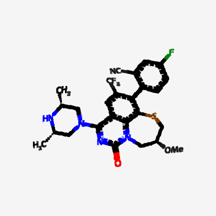 CO[C@@H]1CSc2c(-c3ccc(F)cc3C#N)c(C(F)(F)F)cc3c(N4C[C@@H](C)N[C@@H](C)C4)nc(=O)n(c23)C1